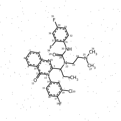 CCC(c1nc2ccccc2c(=O)n1-c1ccc(F)c(Cl)c1)N(CCN(C)C)C(=O)Nc1ccc(F)cc1F